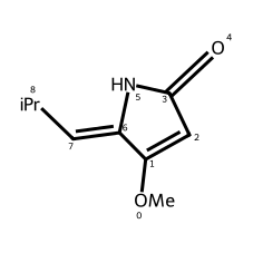 COC1=CC(=O)N/C1=C\C(C)C